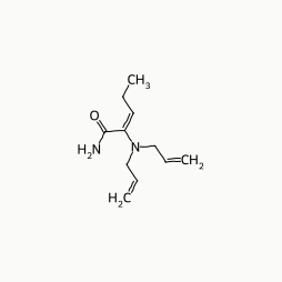 C=CCN(CC=C)/C(=C/CC)C(N)=O